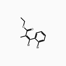 CCOC(=O)C(C)=C(Br)c1ccccc1Br